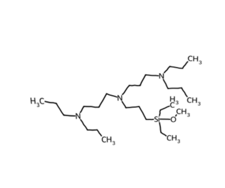 CCCN(CCC)CCCN(CCCN(CCC)CCC)CCC[Si](CC)(CC)OC